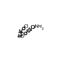 Cc1c(C(=O)N2CCC2)c(-c2cccc(N3CCN(C4=CCC=C(N)C=C4)CC3)c2)c(-c2ccc(Cl)cc2)n1C